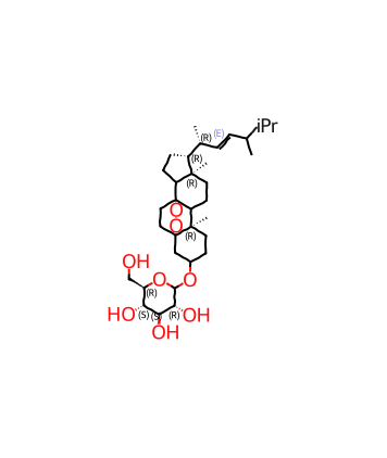 CC(C)C(C)/C=C/[C@@H](C)[C@H]1CCC2C34CCC5(CC(OC6O[C@H](CO)[C@@H](O)[C@H](O)[C@H]6O)CC[C@]5(C)C3CC[C@@]21C)OO4